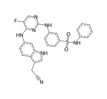 N#CCc1c[nH]c2cc(Nc3nc(Nc4cccc(S(=O)(=O)Nc5ccccc5)c4)ncc3F)ccc12